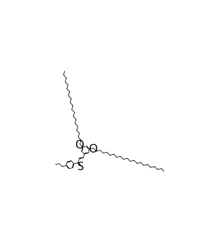 CCCCCCCCCCCCCCCCCCCCCOc1cc(C=CC(=S)c2ccc(CCC)cc2)cc(OCCCCCCCCCCCCCCCCCCCCC)c1